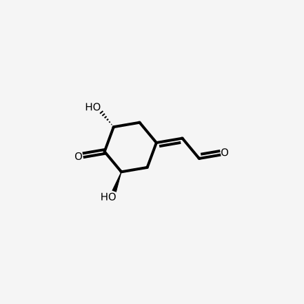 O=CC=C1C[C@@H](O)C(=O)[C@H](O)C1